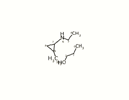 CCCO.CCNC1CC1C